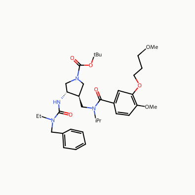 CCN(Cc1ccccc1)C(=O)N[C@@H]1CN(C(=O)OC(C)(C)C)C[C@H]1CN(C(=O)c1ccc(OC)c(OCCCOC)c1)C(C)C